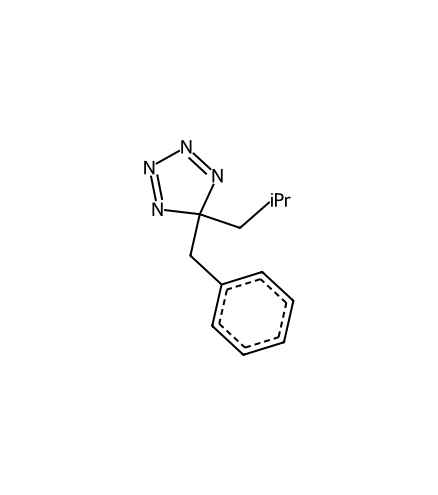 CC(C)CC1(Cc2ccccc2)N=NN=N1